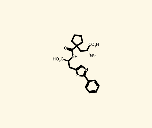 CCC[C@H](CC1(C(=O)N[C@@H](Cc2cnc(-c3ccccc3)o2)C(=O)O)CCCC1)C(=O)O